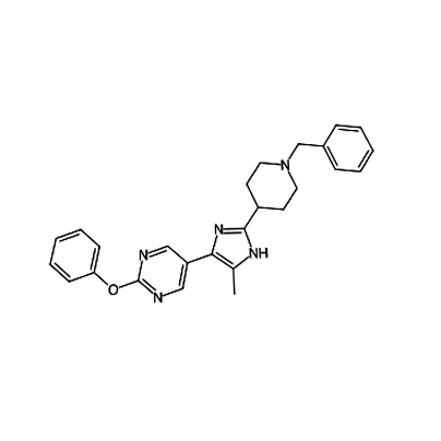 Cc1[nH]c(C2CCN(Cc3ccccc3)CC2)nc1-c1cnc(Oc2ccccc2)nc1